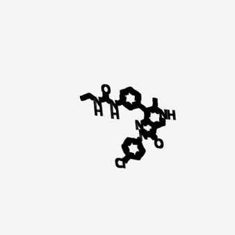 CCNC(=O)Nc1cccc(-c2c3nn(-c4ccc(Cl)cc4)c(=O)c-3c[nH]c2C)c1